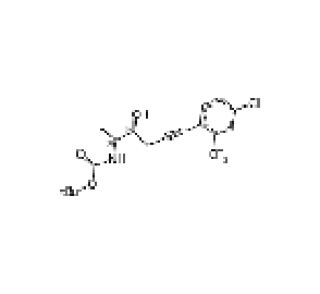 C[C@H](NC(=O)OC(C)(C)C)[C@@H](O)CC#Cc1ccc(Cl)cc1C(F)(F)F